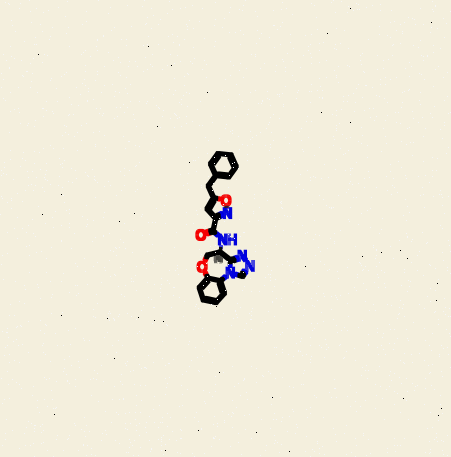 O=C(N[C@H]1COc2ccccc2-n2cnnc21)c1cc(Cc2ccccc2)on1